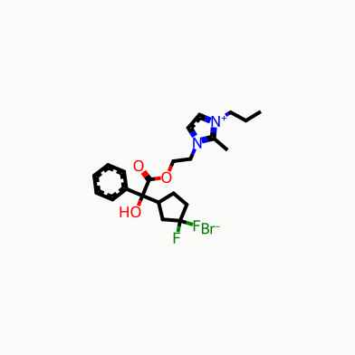 CCC[n+]1ccn(CCOC(=O)C(O)(c2ccccc2)C2CCC(F)(F)C2)c1C.[Br-]